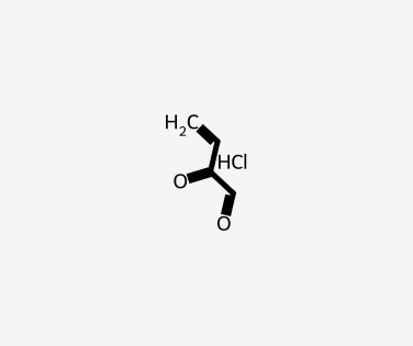 C=CC(=O)C=O.Cl